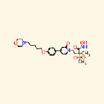 CC(CCn1ccc(-c2ccc(OCCCCCN3CCOCC3)cc2)cc1=O)(C(=O)NO)S(C)(=O)=O